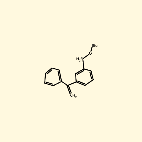 C=C(c1ccccc1)c1cccc([SiH2]OC(C)(C)C)c1